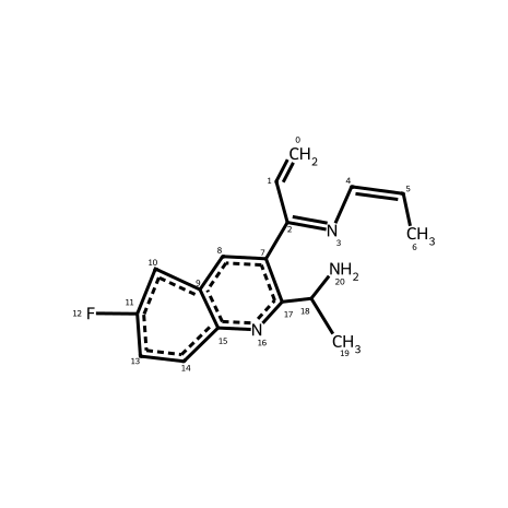 C=C/C(=N\C=C/C)c1cc2cc(F)ccc2nc1C(C)N